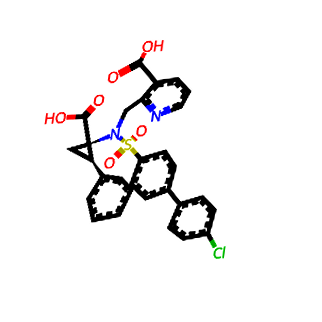 O=C(O)c1cccnc1CN([C@]1(C(=O)O)C[C@@H]1c1ccccc1)S(=O)(=O)c1ccc(-c2ccc(Cl)cc2)cc1